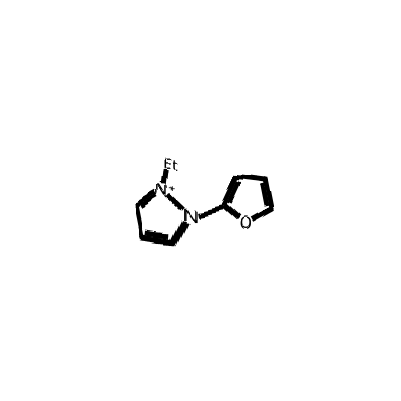 CC[n+]1cccn1-c1ccco1